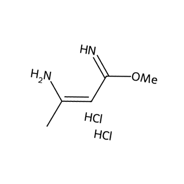 COC(=N)/C=C(/C)N.Cl.Cl